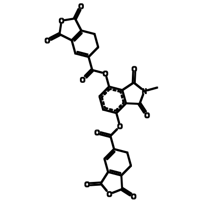 CN1C(=O)c2c(OC(=O)C3=CC4=C(CC3)C(=O)OC4=O)ccc(OC(=O)C3=CC4=C(CC3)C(=O)OC4=O)c2C1=O